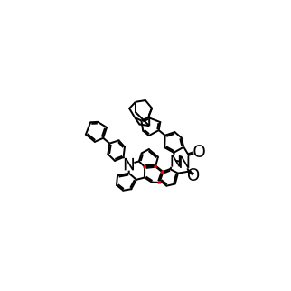 O=c1c2ccc(-c3ccc4c(c3)C3CC5CC(CC4C5)C3)cc2n2c3c(-c4cccc(N(c5ccc(-c6ccccc6)cc5)c5ccccc5-c5ccccc5)c4)cccc3c(=O)n12